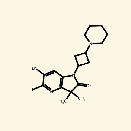 CC1(C)C(=O)N(C2CC(N3CCCCC3)C2)c2cc(Br)c(F)nc21